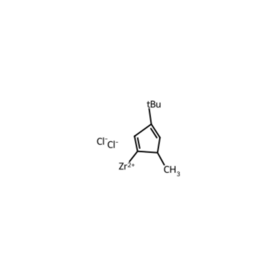 CC1C=C(C(C)(C)C)C=[C]1[Zr+2].[Cl-].[Cl-]